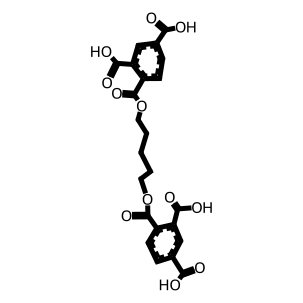 O=C(O)c1ccc(C(=O)OCCCCCOC(=O)c2ccc(C(=O)O)cc2C(=O)O)c(C(=O)O)c1